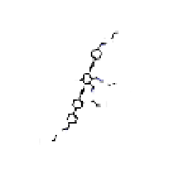 C=C(C)C(=O)O/C=C/c1ccc(C#Cc2cc(F)c(C#Cc3ccc(-c4ccc(/C=C/OC(=O)C(=C)C)cc4)cc3)c(/C=C/OC(=O)C(=C)C)c2/C=C/OC(=O)C(=C)C)cc1